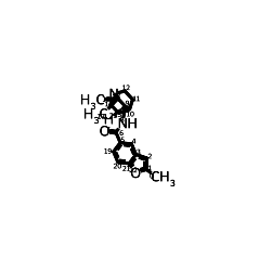 Cc1cc2cc(C(=O)N[C@H]3C4CCN(CC4)C3(C)C)ccc2o1